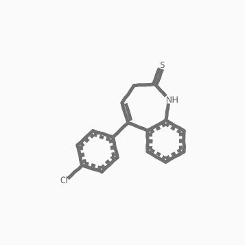 S=C1CC=C(c2ccc(Cl)cc2)c2ccccc2N1